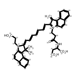 C=C1C(/C=C/C=C/C=C/C=C2/N(CCC(=O)O)c3ccc4ccccc4c3C2(C)C)=[N+](CCC(=O)NC(CC(=O)O)C(=O)O)c2ccc3ccccc3c21